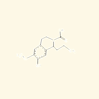 CCCC1c2cc(O)c(OC)cc2CCN1C(C)=O